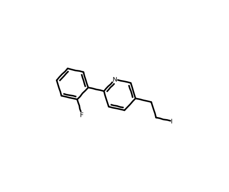 Fc1ccccc1-c1ccc(CCI)cn1